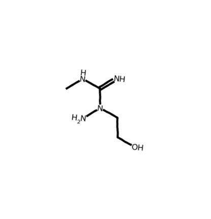 CNC(=N)N(N)CCO